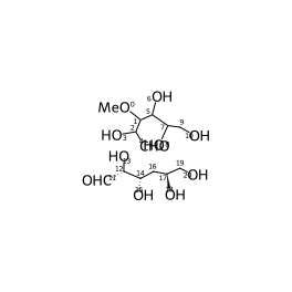 COC(C(O)C=O)C(O)C(O)CO.O=C[C@H](O)[C@@H](O)C[C@H](O)CO